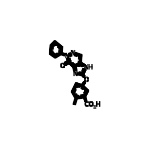 Cc1ccc(Oc2nc3c(=O)n(-c4ccccc4)ncc3[nH]2)cc1C(=O)O